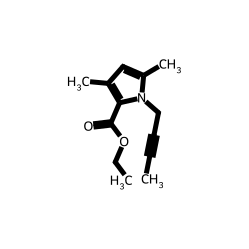 CC#CCn1c(C)cc(C)c1C(=O)OCC